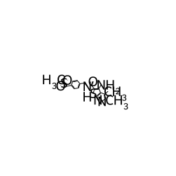 Cc1nnc2sc(C(=O)NCc3ccc(CS(C)(=O)=O)cc3)c(N)c2c1C